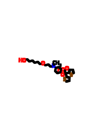 CN(CCCOCCCCCCO)[C@H]1CC[C@H](OC(C(=O)O)(c2cccs2)c2cccs2)CC1